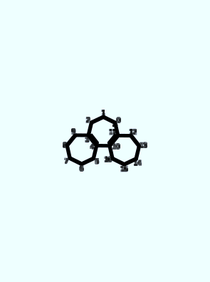 [C]1CCC2=C(CCCCC2)C2=C1CCCCC2